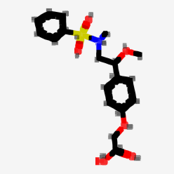 COC(CN(C)S(=O)(=O)c1ccccc1)c1ccc(OCC(=O)O)cc1